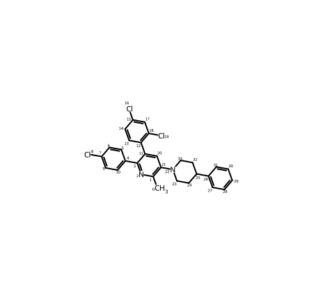 Cc1nc(-c2ccc(Cl)cc2)c(-c2ccc(Cl)cc2Cl)cc1N1CC[C](c2ccccc2)CC1